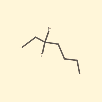 [CH2]CC(F)(F)CCCC